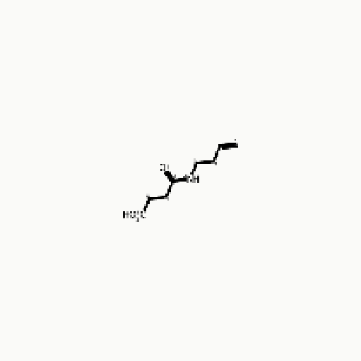 C=CCCNC(=O)CCC(=O)O